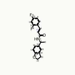 CC(NC(=O)/C=C/c1ccc(F)cc1F)c1ccc2c(c1)CCO2